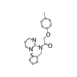 Cc1ccc(OCC(=O)N(Cc2cccs2)c2ncccn2)cc1